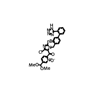 CCCCc1nc(Cl)c(C(=O)c2ccc(C(OC)OC)c[n+]2[O-])n1Cc1ccc(-c2ccccc2-c2nnn[nH]2)cc1